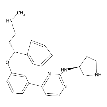 CNCC[C@@H](Oc1cccc(-c2ccnc(N[C@H]3CCNC3)n2)c1)c1ccccc1